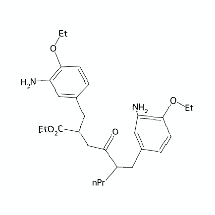 CCCC(Cc1ccc(OCC)c(N)c1)C(=O)CC(Cc1ccc(OCC)c(N)c1)C(=O)OCC